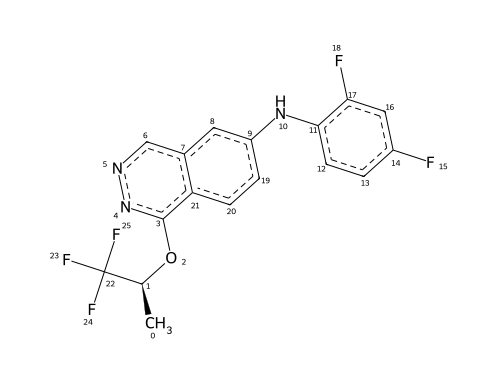 C[C@H](Oc1nncc2cc(Nc3ccc(F)cc3F)ccc12)C(F)(F)F